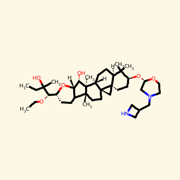 CCO[C@@H]([C@H]1CCC2[C@H](O1)[C@H](O)[C@@]1(C)[C@@H]3CC[C@H]4C(C)(C)[C@@H](O[C@H]5CN(CC6CNC6)CCO5)CC[C@@]45C[C@@]35CC[C@]21C)C(C)(O)CC